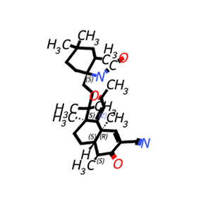 CC(=O)/C=C1/[C@@]2(C)C=C(C#N)C(=O)[C@@H](C)[C@@H]2CC[C@@]1(C)C(C)(C)CC[C@@]1(N=C=O)CCC(C)(C)CC1C